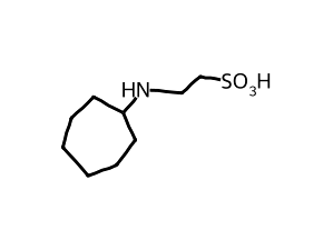 O=S(=O)(O)CCNC1CCCCCC1